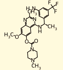 COc1cc2nc(C)nc(N[C@H](C)c3cc(N)cc(C(F)(F)F)c3)c2cc1OC(=O)N1CCN(C)CC1